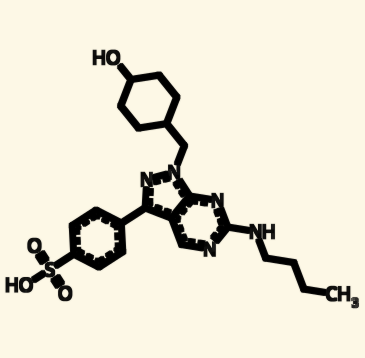 CCCCNc1ncc2c(-c3ccc(S(=O)(=O)O)cc3)nn(CC3CCC(O)CC3)c2n1